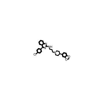 Clc1ccc(-c2nc(NCCCN3CCC(c4ccc5c(c4)OCO5)CC3)nc3ccccc23)cc1